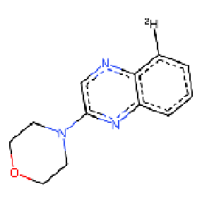 [2H]c1cccc2nc(N3CCOCC3)cnc12